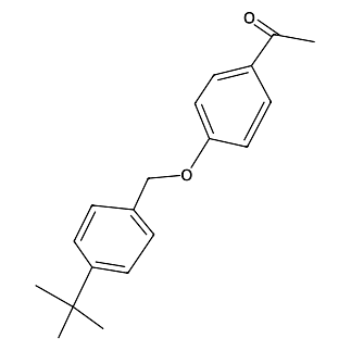 CC(=O)c1ccc(OCc2ccc(C(C)(C)C)cc2)cc1